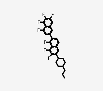 CCCC1CCC(c2cc3ccc(-c4cc(F)c5c(F)c(F)c(F)cc5c4)c(F)c3c(F)c2F)CC1